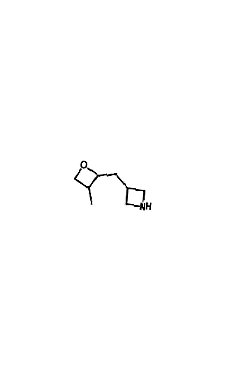 CC1COC1CC1CNC1